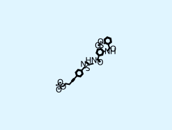 CS(=O)(=O)OCCC#Cc1ccc(-c2ncc(CNC(=O)c3ccc4c(c3)NC(=O)c3ccccc3S4(=O)=O)s2)cc1